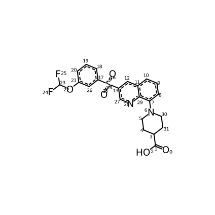 O=C(O)C1CCN(c2cccc3cc(S(=O)(=O)c4cccc(OC(F)F)c4)cnc23)CC1